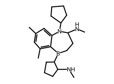 CNC1CCCC1B1CCC(NC)N(C2CCCC2)c2cc(C)cc(C)c21